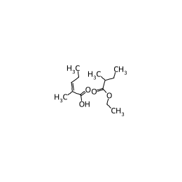 CCC=C(C)C(=O)O.CCOC(=O)C(C)CC